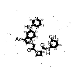 CC(=O)c1cn(CC(=O)N2CC[C@H]2C(=O)Nc2cccc(C)n2)c2ccc(Nc3cccnc3)cc12